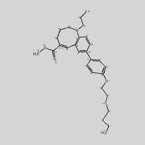 CCCCOCCOc1ccc(-c2ccc3c(c2)/C=C(/C(=O)OC)CCCN3CCF)cc1